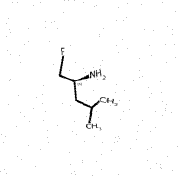 CC(C)C[C@H](N)CF